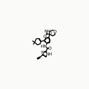 C#Cc1c[nH]c(C(=O)Nc2ccc(C3(C(N)=O)CCOCC3)cc2C2=CCC(C)(C)CC2)n1